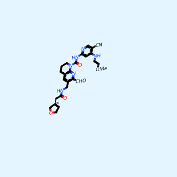 COCCNc1cc(NC(=O)N2CCCc3cc(CNC(=O)C[C@H]4CCOC4)c(C=O)nc32)ncc1C#N